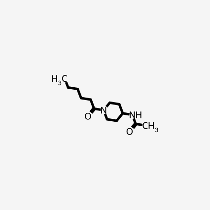 CCCCCC(=O)N1CCC(NC(C)=O)CC1